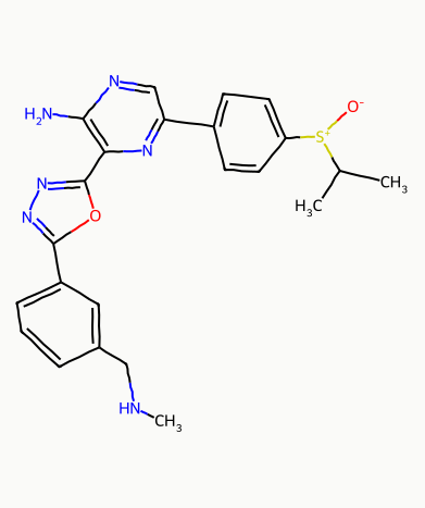 CNCc1cccc(-c2nnc(-c3nc(-c4ccc([S+]([O-])C(C)C)cc4)cnc3N)o2)c1